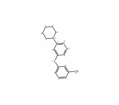 N#Cc1cccc(Sc2cnnc(N3CCCCC3)c2)c1